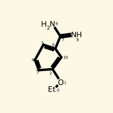 CCOc1[c]ccc(C(=N)N)c1